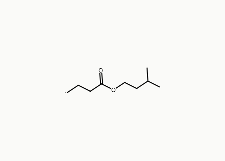 [CH2]CCC(=O)OCCC(C)C